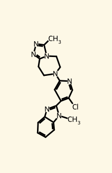 Cc1nnc2n1CCN(c1cc(-c3nc4ccccc4n3C)c(Cl)cn1)CC2